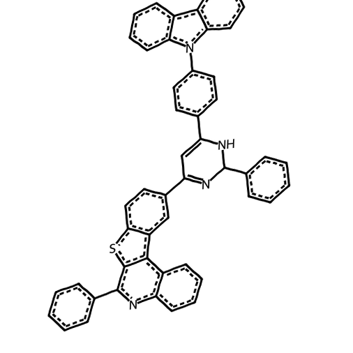 C1=C(c2ccc(-n3c4ccccc4c4ccccc43)cc2)NC(c2ccccc2)N=C1c1ccc2sc3c(-c4ccccc4)nc4ccccc4c3c2c1